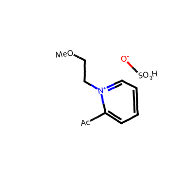 COCC[n+]1ccccc1C(C)=O.O=S(=O)([O-])O